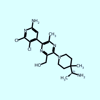 Cc1nc(N2CCC(C)([C@H](C)N)CC2)c(CO)nc1-c1cc(N)nc(Cl)c1Cl